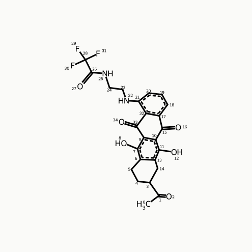 CC(=O)C1CCc2c(O)c3c(c(O)c2C1)C(=O)c1cccc(NCCNC(=O)C(F)(F)F)c1C3=O